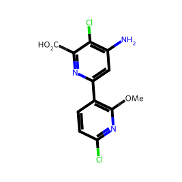 COc1nc(Cl)ccc1-c1cc(N)c(Cl)c(C(=O)O)n1